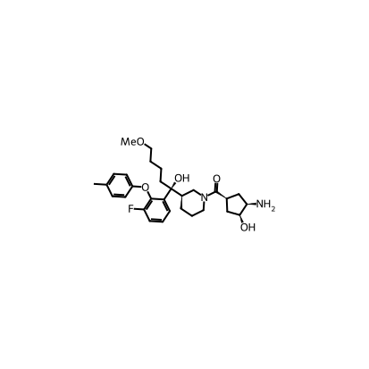 COCCCC[C@@](O)(c1cccc(F)c1Oc1ccc(C)cc1)[C@@H]1CCCN(C(=O)[C@H]2C[C@@H](N)[C@@H](O)C2)C1